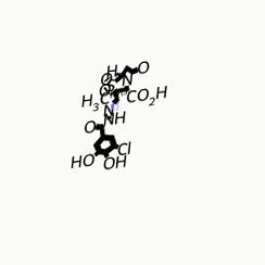 C[C@]1(/C=N/NC(=O)c2cc(O)c(O)c(Cl)c2)[C@H](C(=O)O)N2C(=O)C[C@H]2S1(=O)=O